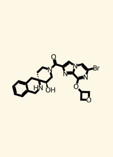 O=C(c1cn2cc(Br)nc(OC3COC3)c2n1)N1CC[C@]2(Cc3ccccc3CN2)[C@H](O)C1